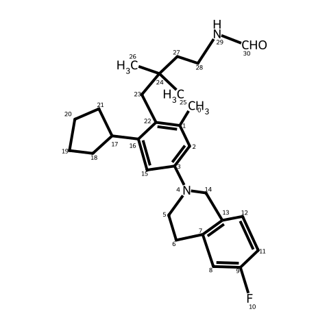 Cc1cc(N2CCc3cc(F)ccc3C2)cc(C2CCCC2)c1CC(C)(C)CCNC=O